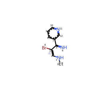 CCN/C=C(/Br)C(=N)c1cccnc1